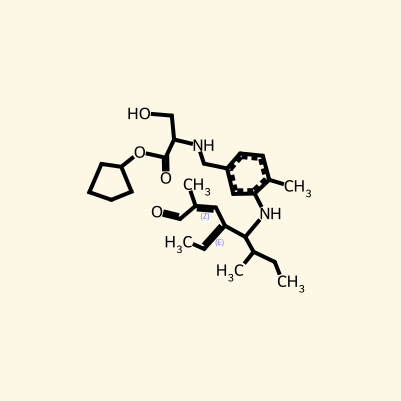 C/C=C(\C=C(\C)C=O)C(Nc1cc(CNC(CO)C(=O)OC2CCCC2)ccc1C)C(C)CC